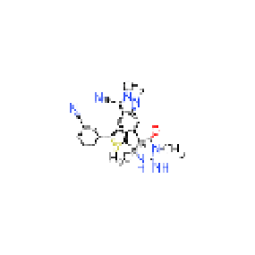 CN1C(=N)N[C@](C)(c2ccc(-c3cccc(C#N)c3)s2)[C@@H](c2ccc3c(C#N)n(C)nc3c2)C1=O